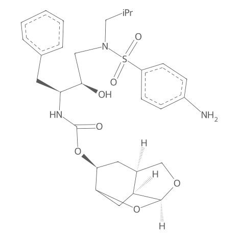 CC(C)CN(C[C@@H](O)[C@H](Cc1ccccc1)NC(=O)O[C@H]1C[C@H]2CO[C@H]3OC1C[C@@H]23)S(=O)(=O)c1ccc(N)cc1